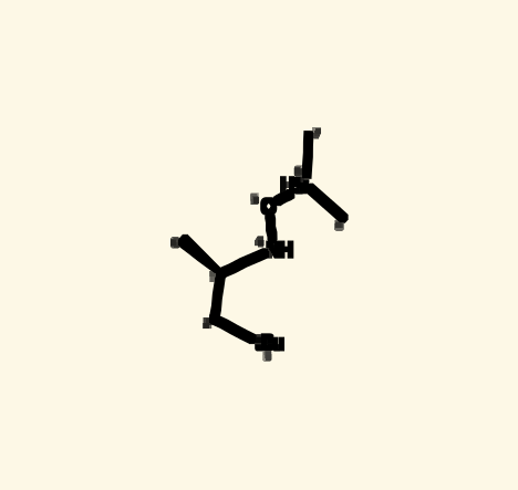 C[C@H](CC(C)(C)C)NO[SiH](C)C